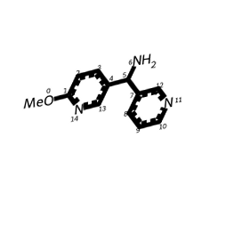 COc1ccc(C(N)c2cccnc2)cn1